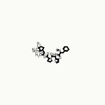 CC(CC1CCC(C)(C)C1(C)C)OC(=O)C1CCCN1C(=O)C(NC(=O)C(CC1=CCCC=C1)N=O)c1cccs1